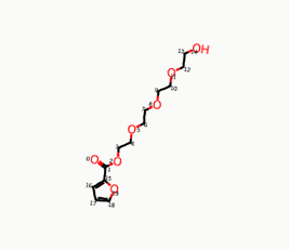 O=C(OCCOCCOCCOCCO)c1ccco1